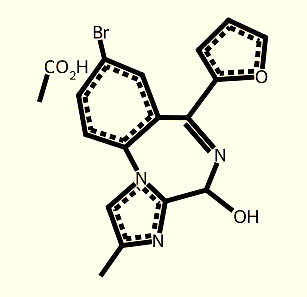 CC(=O)O.Cc1cn2c(n1)C(O)N=C(c1ccco1)c1cc(Br)ccc1-2